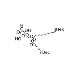 CCCCCC/C=C\CCCCCCCCCC(=O)O[C@H](COC(=O)CCCCCCCCCCCCCCC)CO[C@H]1O[C@H](CO)[C@@H](O)[C@H](O)[C@H]1O